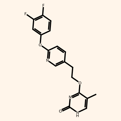 Cc1c[nH]c(=O)nc1OCCc1ccc(Oc2ccc(F)c(F)c2)nc1